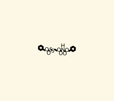 O=C(NC(=O)OCc1ccccc1)OCCSSC(=O)OCc1ccccc1